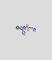 CN1CCN(c2cc(-c3ccccc3)nc3cc(C(=O)NCCCn4ccnc4)nn23)CC1